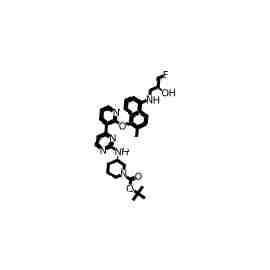 Cc1ccc2c(NC[C@H](O)CF)cccc2c1Oc1ncccc1-c1ccnc(N[C@H]2CCCN(C(=O)OC(C)(C)C)C2)n1